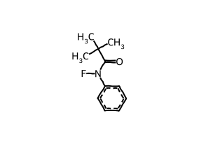 CC(C)(C)C(=O)N(F)c1ccccc1